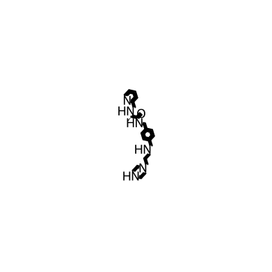 C[C@H](NCc1ccccn1)C(=O)NCc1ccc(CNCCCN2CCNCC2)cc1